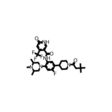 CC1CN(c2cc(F)c(C3CCN(C(=O)CC(C)(C)C)CC3)cc2NC(=O)c2c[nH]c(=O)cc2C(F)(F)F)CC(C)N1C